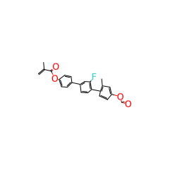 C=C(C)C(=O)Oc1ccc(-c2ccc(-c3ccc(OC=O)cc3C)c(F)c2)cc1